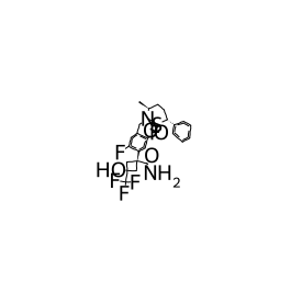 C[C@H]1CC[C@H](c2ccccc2)S(=O)(=O)N1Cc1cc(F)c([C@]2(C(N)=O)C[C@@](O)(C(F)(F)F)C2)cc1F